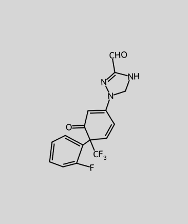 O=CC1=NN(C2=CC(=O)C(c3ccccc3F)(C(F)(F)F)C=C2)CN1